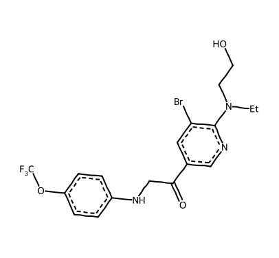 CCN(CCO)c1ncc(C(=O)CNc2ccc(OC(F)(F)F)cc2)cc1Br